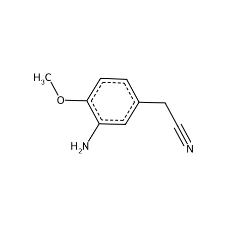 COc1ccc(CC#N)cc1N